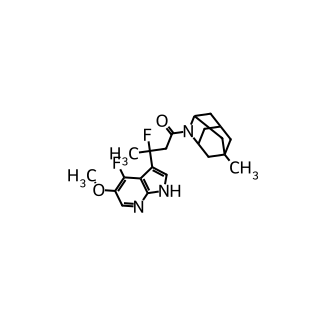 COc1cnc2[nH]cc(C(C)(F)CC(=O)N3C4CC5CC3CC(C)(C5)C4)c2c1F